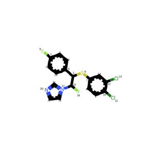 Fc1ccc(C(Sc2ccc(Cl)c(Cl)c2)C(F)n2ccnc2)cc1